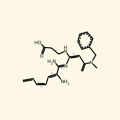 C=C\C=C/C=C(N)/C(N)=N/C(=C\C(=C)N(C)Cc1ccccc1)NCCC(=O)O